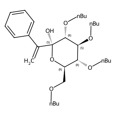 C=C(c1ccccc1)[C@]1(O)O[C@H](COCCCC)[C@@H](OCCCC)[C@H](OCCCC)[C@H]1OCCCC